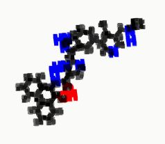 CCNCc1cncc(-c2ccc3[nH]nc(-c4ncc(C(=O)N[C@H](c5ccccc5)[C@@H](O)c5ccccc5)[nH]4)c3c2)c1C